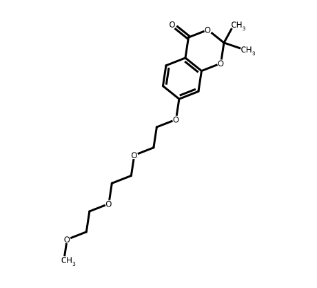 COCCOCCOCCOc1ccc2c(c1)OC(C)(C)OC2=O